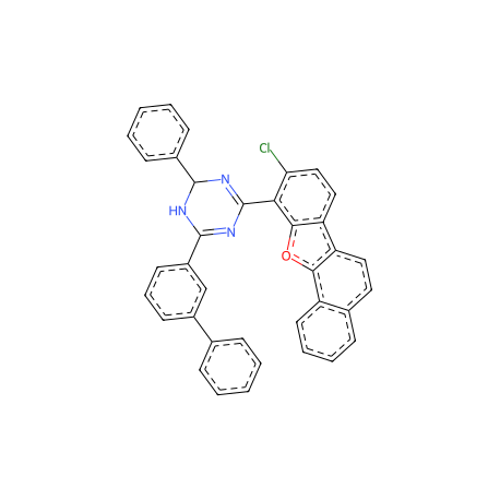 Clc1ccc2c(oc3c4ccccc4ccc23)c1C1=NC(c2ccccc2)NC(c2cccc(-c3ccccc3)c2)=N1